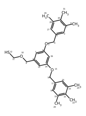 Cc1cc(COc2cc(COCS)cc(OCc3cc(C)c(C)c(C)c3)c2)cc(C)c1C